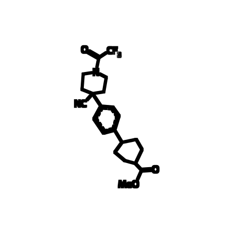 COC(=O)C1CCC(c2ccc(C3(C#N)CCN(C(=O)C(F)(F)F)CC3)cc2)CC1